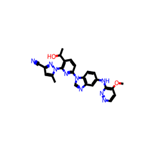 COc1ccnnc1Nc1ccc2c(c1)ncn2-c1ccc(C(C)O)c(-n2nc(C#N)cc2C)n1